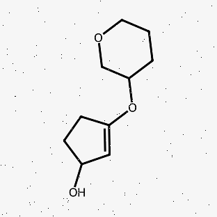 OC1C=C(OC2CCCOC2)CC1